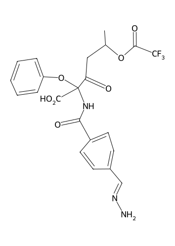 CC(CC(=O)C(NC(=O)c1ccc(C=NN)cc1)(Oc1ccccc1)C(=O)O)OC(=O)C(F)(F)F